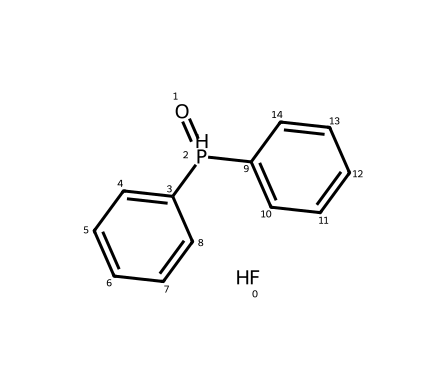 F.O=[PH](c1ccccc1)c1ccccc1